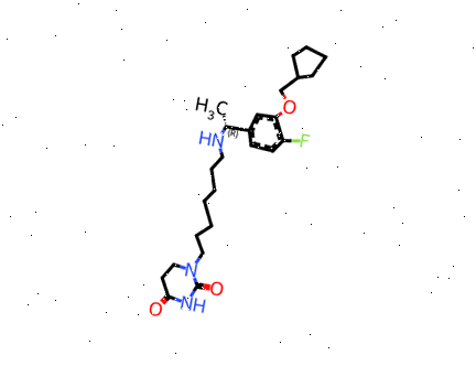 C[C@@H](NCCCCCCCN1CCC(=O)NC1=O)c1ccc(F)c(OCC2CCCC2)c1